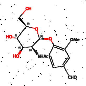 COc1cc(C=O)ccc1O[C@@H]1O[C@H](CO)[C@@H](O)[C@H](O)[C@@H]1NC(C)=O